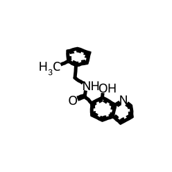 Cc1ccccc1CNC(=O)c1ccc2cccnc2c1O